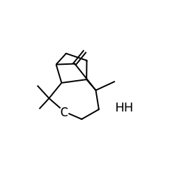 C=C1C2CCC3C2C(C)(C)CCCC13C.[HH]